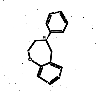 c1ccc([C@H]2CCOc3ccccc3C2)cc1